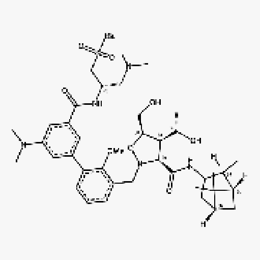 COc1c(CN2O[C@@H](CO)[C@@H]([C@H](C)O)[C@H]2C(=O)NC2C[C@H]3C[C@@H]([C@@H]2C)C3(C)C)cccc1-c1cc(C(=O)N[C@@H](CN(C)C)CS(=O)(=O)C(C)(C)C)cc(N(C)C)c1